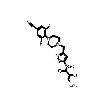 CCC(=O)C(=O)Nc1cc(CN2CCN(c3c(F)cc(C#N)cc3F)CC2)ns1